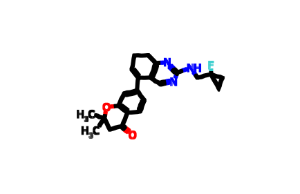 CC1(C)CC(=O)c2ccc(C3=CCCc4nc(NCC5(F)CC5)ncc43)cc2O1